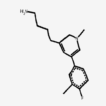 Cc1cc(C2=CN(C)CC(CCCCN)=C2)ccc1F